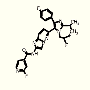 CC(C)c1nc(-c2ccc(F)cc2)c(-c2ccc3nc(NC(=O)c4ccnc(F)c4)cn3n2)n1CC(F)F